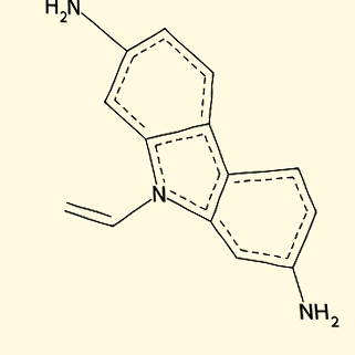 C=Cn1c2cc(N)ccc2c2ccc(N)cc21